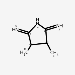 CC1C(=N)NC(=N)C1C